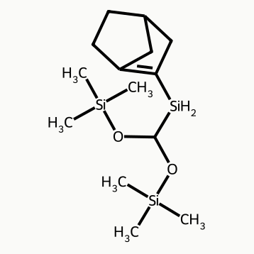 C[Si](C)(C)OC(O[Si](C)(C)C)[SiH2]C1=C2CCC(C2)C1